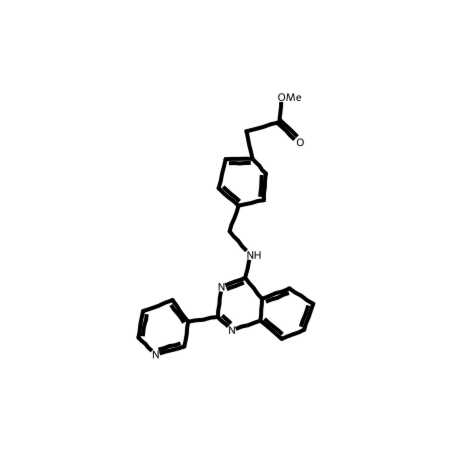 COC(=O)Cc1ccc(CNc2nc(-c3cccnc3)nc3ccccc23)cc1